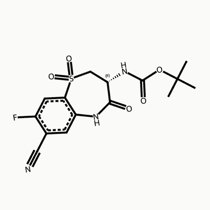 CC(C)(C)OC(=O)N[C@H]1CS(=O)(=O)c2cc(F)c(C#N)cc2NC1=O